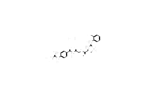 Cl.N=C(N)Nc1ccc(C(=O)NC(=O)CNC(=O)[C@H](CO)NC(=O)Nc2ccccc2Cl)cc1